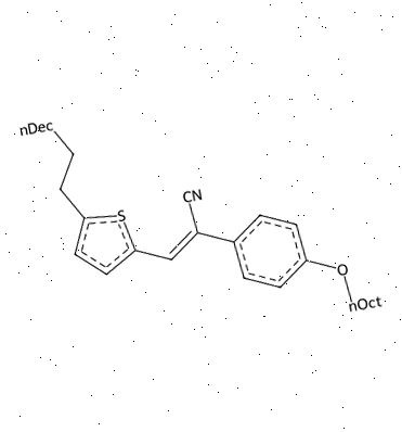 CCCCCCCCCCCCc1ccc(C=C(C#N)c2ccc(OCCCCCCCC)cc2)s1